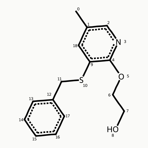 Cc1cnc(OCCO)c(SCc2ccccc2)c1